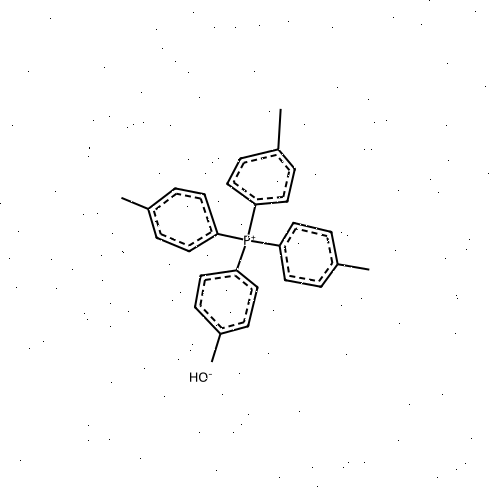 Cc1ccc([P+](c2ccc(C)cc2)(c2ccc(C)cc2)c2ccc(C)cc2)cc1.[OH-]